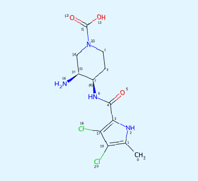 Cc1[nH]c(C(=O)N[C@@H]2CCN(C(=O)O)C[C@@H]2N)c(Cl)c1Cl